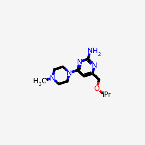 CC(C)OCc1cc(N2CCN(C)CC2)nc(N)n1